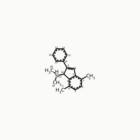 Cc1ccc(C)c2c1C=C(c1ccccc1)C2[SiH](C)C